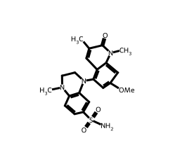 COc1cc(N2CCN(C)c3ccc(S(N)(=O)=O)cc32)c2cc(C)c(=O)n(C)c2c1